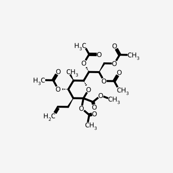 C=CC[C@H]1[C@H](OC(C)=O)[C@@H](C)[C@H]([C@H](OC(C)=O)[C@@H](COC(C)=O)OC(C)=O)OC1(OC(C)=O)C(=O)OC